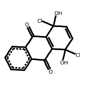 O=C1C2=C(C(=O)c3ccccc31)C(O)(Cl)C=CC2(O)Cl